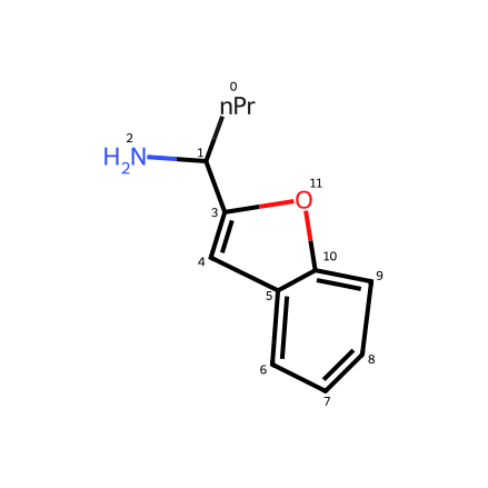 CCCC(N)c1cc2ccccc2o1